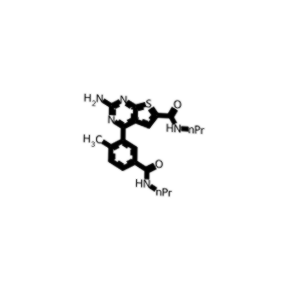 CCCNC(=O)c1ccc(C)c(-c2nc(N)nc3sc(C(=O)NCCC)cc23)c1